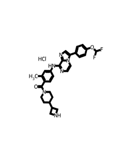 Cc1cc(Nc2nccn3c(-c4ccc(OC(F)F)cc4)cnc23)ccc1C(=O)N1CCC(C2CNC2)CC1.Cl